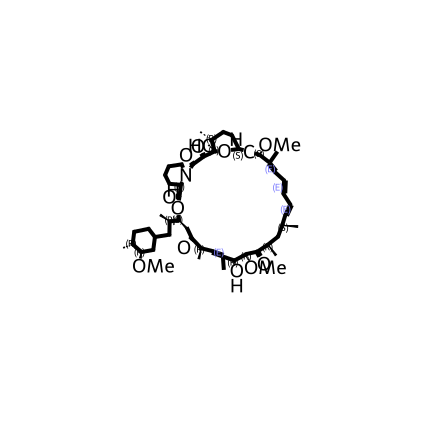 CO[C@H]1C[C@@H]2CC[C@@H](C)[C@@](O)(O2)C(=O)C(=O)N2CCCC[C@H]2C(=O)O[C@H]([C@H](C)CC2CC[C@@H](C)[C@H](OC)C2)CC(=O)[C@H](C)/C=C(\C)[C@@H](O)[C@@H](OC)C(=O)[C@H](C)C[C@H](C)/C=C/C=C/C=C/1C